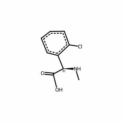 CN[C@@H](C(=O)O)c1ccccc1Cl